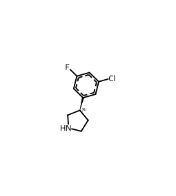 Fc1cc(Cl)cc([C@H]2CCNC2)c1